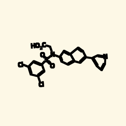 O=C(O)CN(c1ccc2cc(-c3cccnc3)ccc2c1)S(=O)(=O)c1cc(Cl)cc(Cl)c1